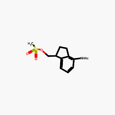 CC(=O)Nc1cccc2c1CCC2COS(C)(=O)=O